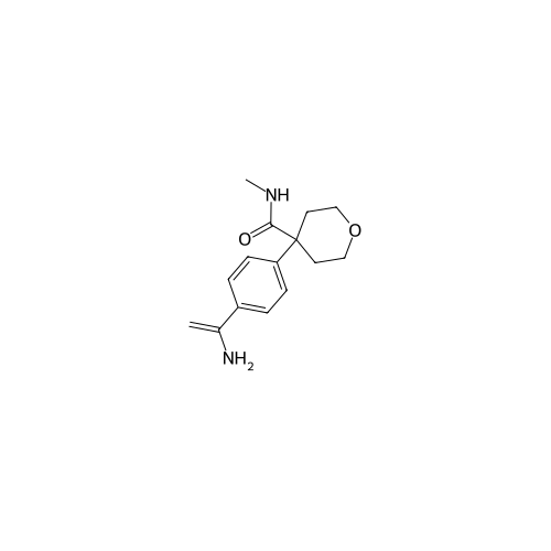 C=C(N)c1ccc(C2(C(=O)NC)CCOCC2)cc1